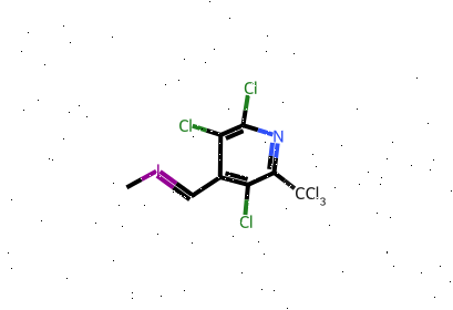 C/I=C/c1c(Cl)c(Cl)nc(C(Cl)(Cl)Cl)c1Cl